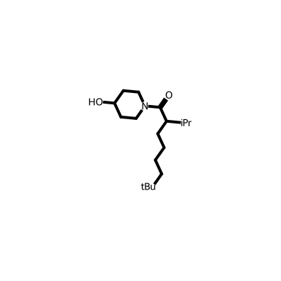 CC(C)C(CCCCC(C)(C)C)C(=O)N1CCC(O)CC1